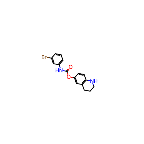 O=C(Nc1cccc(Br)c1)Oc1ccc2c(c1)CCCN2